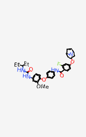 CCC(CC)NC(=O)Nc1ccc(Oc2ccc(NC(=O)c3ccc(OC4CC5CCC(C4)N5C)cc3F)cc2)c(OC)c1